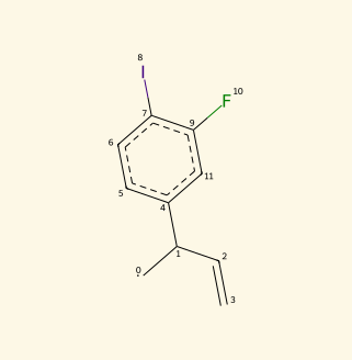 [CH2]C(C=C)c1ccc(I)c(F)c1